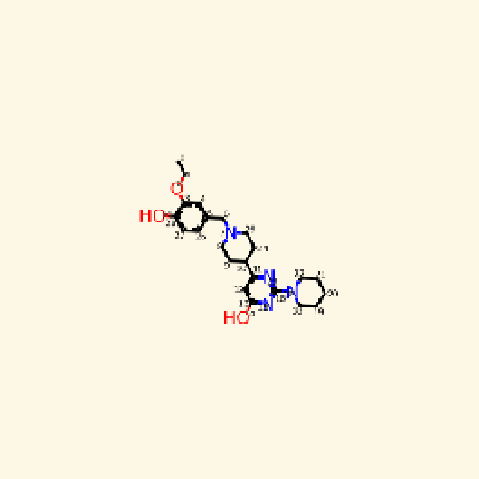 CCOc1cc(CN2CCC(c3cc(O)nc(N4CCCCC4)n3)CC2)ccc1O